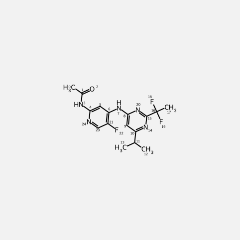 CC(=O)Nc1cc(Nc2cc(C(C)C)nc(C(C)(F)F)n2)c(F)cn1